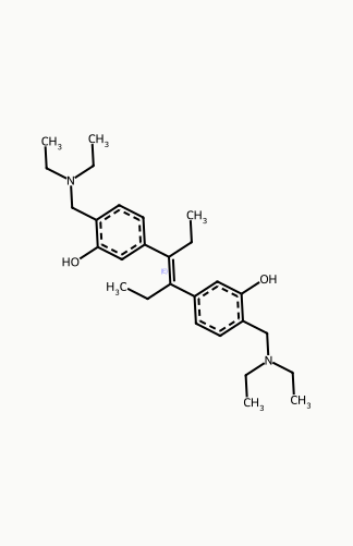 CC/C(=C(/CC)c1ccc(CN(CC)CC)c(O)c1)c1ccc(CN(CC)CC)c(O)c1